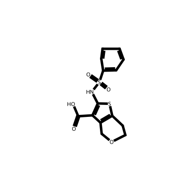 O=C(O)c1c(NS(=O)(=O)c2ccccc2)sc2c1COCC2